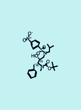 CC(C)CN(C[C@H](O)[C@@H](Cc1ccccc1)N(C)C(=O)OC(C)(C)C)S(=O)(=O)c1ccc([N+](=O)[O-])cc1